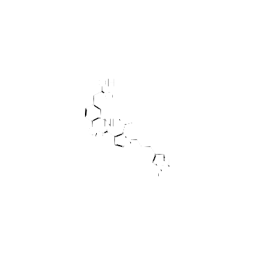 CC(C)c1c(C(=O)Nc2cc(CC(=O)O)ccc2Cl)ccn1CCCc1cnn(C)c1